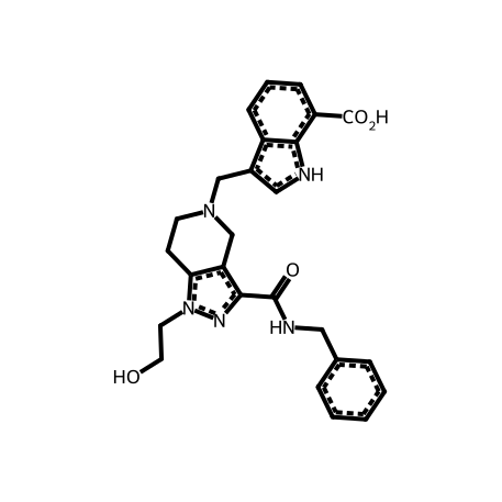 O=C(NCc1ccccc1)c1nn(CCO)c2c1CN(Cc1c[nH]c3c(C(=O)O)cccc13)CC2